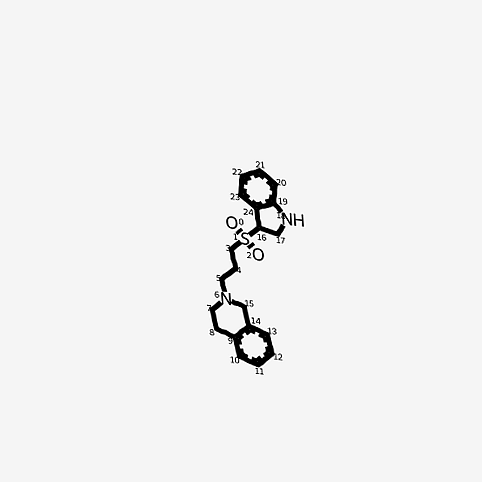 O=S(=O)(CCCN1CCc2ccccc2C1)C1CNc2ccccc21